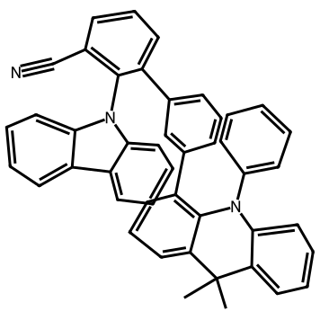 CC1(C)c2ccccc2N(c2ccccc2)c2c(-c3cccc(-c4cccc(C#N)c4-n4c5ccccc5c5ccccc54)c3)cccc21